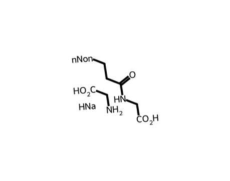 CCCCCCCCCCCC(=O)NCC(=O)O.NCC(=O)O.[NaH]